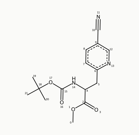 COC(=O)C(Cc1ccc(C#N)cn1)NC(=O)OC(C)(C)C